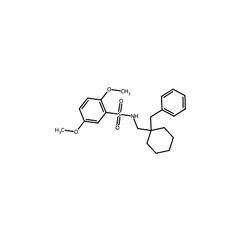 COc1ccc(OC)c(S(=O)(=O)NCC2(Cc3ccccc3)CCCCC2)c1